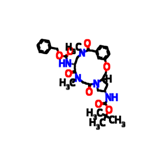 CN1C[C@@H](NC(=O)OCc2ccccc2)C(=O)N(C)CC(=O)N2C[C@@H](NC(=O)OC(C)(C)C)C[C@H]2COc2cccc(c2)C1=O